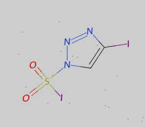 O=S(=O)(I)n1cc(I)nn1